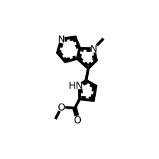 COC(=O)c1ccc(-c2cn(C)c3cnccc23)[nH]1